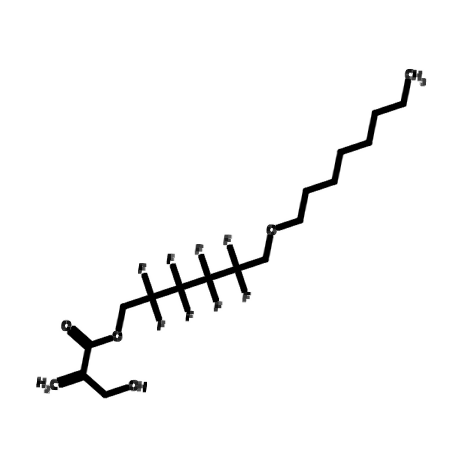 C=C(CO)C(=O)OCC(F)(F)C(F)(F)C(F)(F)C(F)(F)COCCCCCCCC